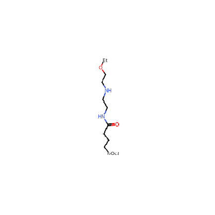 CCCCCCCCCCCC(=O)NCCNCCOCC